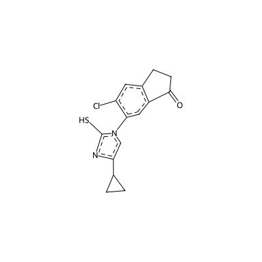 O=C1CCc2cc(Cl)c(-n3cc(C4CC4)nc3S)cc21